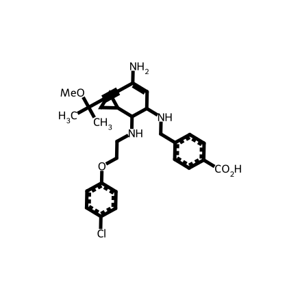 COC(C)(C)C#C/C(N)=C\C(NCc1ccc(C(=O)O)cc1)C(NCCOc1ccc(Cl)cc1)C1CC1